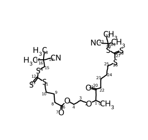 CC(OCCOC(=O)CCCSC(=S)SCC(C)(C)C#N)C(=O)CCCCSC(=S)SC(C)(C)C#N